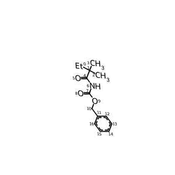 CCC(C)(C)C(=O)NC(=O)OCc1ccccc1